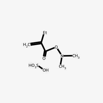 C=C(CC)C(=O)ON(C)C.O=S(=O)(O)O